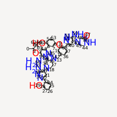 CC(Oc1cc(-c2cc(Oc3cc(CN(C)C4CCN(c5cc(-c6ccccc6O)nnc5N)CC4)ccc3-c3cc(N4CCNC(=O)C4)c(N)nn3)ccc2O)nnc1N)C(C)(C)C